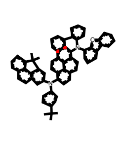 CC(C)(C)c1ccc(N(c2cc3c4c(ccc5cccc(c54)C3(C)C)c2)c2ccc3ccc4c(N(c5ccccc5-c5ccccc5)c5cccc6c5oc5ccccc56)ccc5ccc2c3c54)cc1